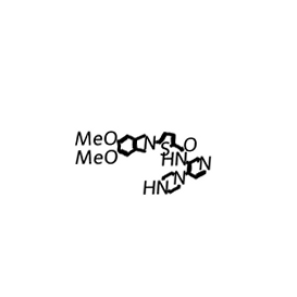 COc1cc2c(cc1OC)CN(c1ccc(C(=O)Nc3cnccc3N3CCNCC3)s1)C2